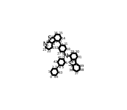 c1ccc(-c2ccc(N(c3ccc(-c4cccc5sc6ncccc6c45)cc3)c3cccc4c3sc3ccccc34)cc2)cc1